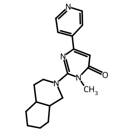 Cn1c(N2CCC3CCCCC3C2)nc(-c2ccncc2)cc1=O